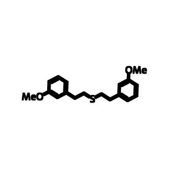 COc1cccc(CCSCCc2cccc(OC)c2)c1